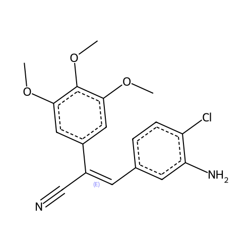 COc1cc(/C(C#N)=C\c2ccc(Cl)c(N)c2)cc(OC)c1OC